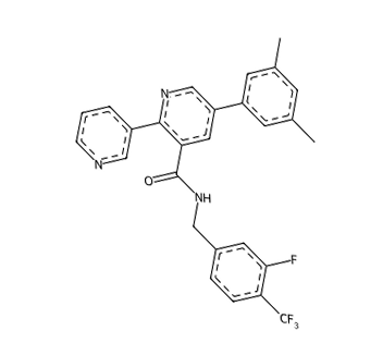 Cc1cc(C)cc(-c2cnc(-c3cccnc3)c(C(=O)NCc3ccc(C(F)(F)F)c(F)c3)c2)c1